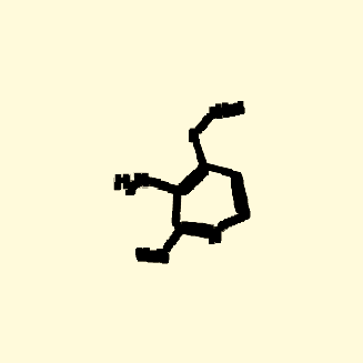 CCCCCCSc1ccnc(OC)c1N